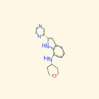 c1cc(NC2CCOCC2)c2[nH]c(-c3cnccn3)cc2c1